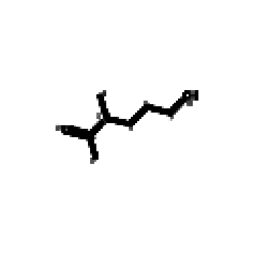 CC(=O)N(C)CCCO